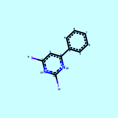 Ic1cc(-c2ccccc2)nc(I)n1